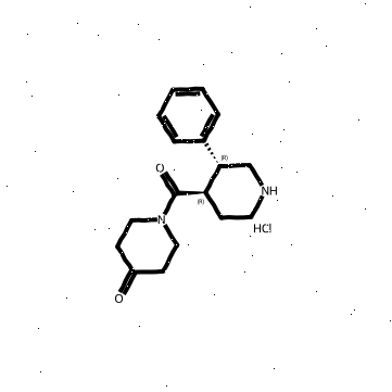 Cl.O=C1CCN(C(=O)[C@@H]2CCNC[C@H]2c2ccccc2)CC1